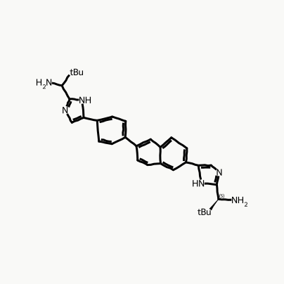 CC(C)(C)C(N)c1ncc(-c2ccc(-c3ccc4cc(-c5cnc([C@@H](N)C(C)(C)C)[nH]5)ccc4c3)cc2)[nH]1